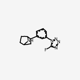 Fc1nnnn1-c1cccc(C2CC3CCC2N3)c1